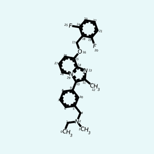 CCN(C)Cc1cccc(-c2c(C)nc3c(OCc4c(F)cccc4F)cccn23)c1